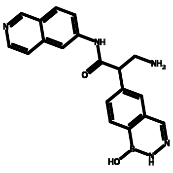 NCC(C(=O)Nc1ccc2cnccc2c1)c1ccc2c(c1)C=NNB2O